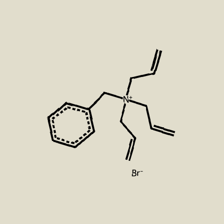 C=CC[N+](CC=C)(CC=C)Cc1ccccc1.[Br-]